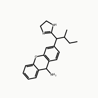 CCC(C)C(C1=NCCN1)c1ccc2c(c1)Oc1ccccc1C2N